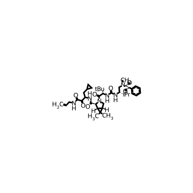 C=CCNC(=O)C(=O)C(CC1CC1)NC(=O)[C@@H]1[C@@H]2[C@H](CN1C(=O)[C@@H](NC(=O)N[C@H](CN(C)S(=O)(=O)c1ccccc1)C(C)C)C(C)(C)C)C2(C)C